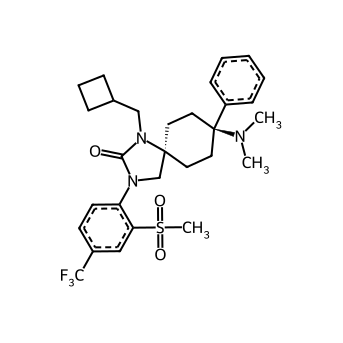 CN(C)[C@]1(c2ccccc2)CC[C@]2(CC1)CN(c1ccc(C(F)(F)F)cc1S(C)(=O)=O)C(=O)N2CC1CCC1